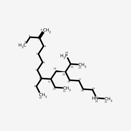 C=C(CC)CCCCC(CC)C(CC)C[C@H](CCCCNC)C(C)P